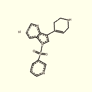 I.O=S(=O)(c1cccnc1)n1cc(C2=CCNCC2)c2ncccc21